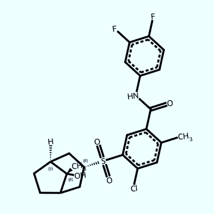 Cc1cc(Cl)c(S(=O)(=O)[C@@H]2CC3CC[C@@H](C2)[C@]3(C)O)cc1C(=O)Nc1ccc(F)c(F)c1